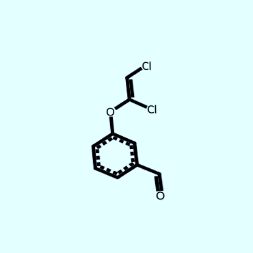 O=Cc1cccc(OC(Cl)=CCl)c1